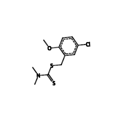 COc1ccc(Cl)cc1CSC(=S)N(C)C